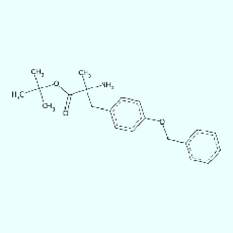 CC(C)(C)OC(=O)C(C)(N)Cc1ccc(OCc2ccccc2)cc1